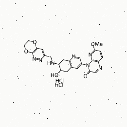 COc1ccc2ncc(=O)n(-c3cnc4c(c3)C[C@@H](O)[C@@H](NCc3cc5c(nn3)OCCO5)C4)c2n1.Cl.Cl